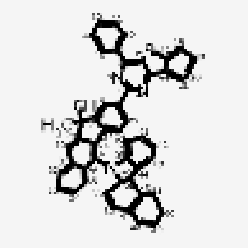 CC1(C)c2cc(-c3nc(-c4ccccc4)c4sc5ccccc5c4n3)ccc2-c2c1cc1ccccc1c2N1c2ccccc2C2C3=C(C=CCC3)C=CC21